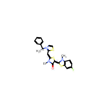 CCn1c(=O)/c(=C2\Sc3cc(F)ccc3N2C)s/c1=C\c1scc[n+]1[C@H](C)c1ccccc1